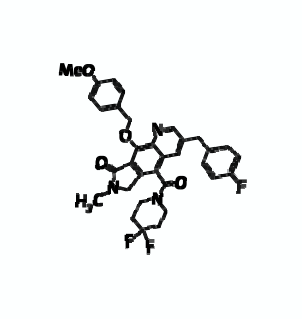 COc1ccc(COc2c3c(c(C(=O)N4CCC(F)(F)CC4)c4cc(Cc5ccc(F)cc5)cnc24)CN(C)C3=O)cc1